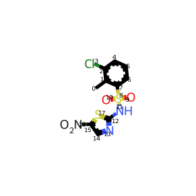 Cc1c(Cl)cccc1S(=O)(=O)Nc1ncc([N+](=O)[O-])s1